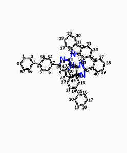 c1ccc(-c2ccc(-c3cc(-c4ccc(-c5ccccc5)cc4)nc(-n4c5ccccc5c5ccc6c7ccccc7c7nc8ccccc8n7c6c54)n3)cc2)cc1